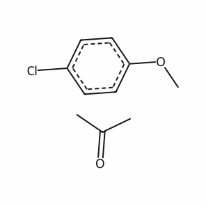 CC(C)=O.COc1ccc(Cl)cc1